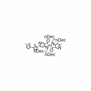 CCCCCCCCCCC(CCCCCCCCCC)CN1/C(=C2\C(=O)c3cnc(-c4ccc(-c5ccc(C)s5)s4)cc3N2CC(CCCCCCCCCC)CCCCCCCCCC)C(=O)c2cnc(C)cc21